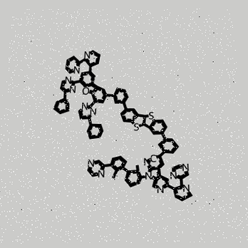 Cc1c(-c2cnccn2)cccc1-c1cccc(-n2c3cnc(-c4cccnc4-c4cnccn4)cc3c3cc(-c4cccc(-c5ccc6c(c5)C5Sc7ccc(-c8cccc(-c9cc(-c%10nccc(-c%11ccccc%11)n%10)c%10oc%11c(-c%12nccc(-c%13ccccc%13)n%12)cc(-c%12cccnc%12-c%12ccccn%12)cc%11c%10c9)c8)cc7C5S6)c4)cnc32)c1C